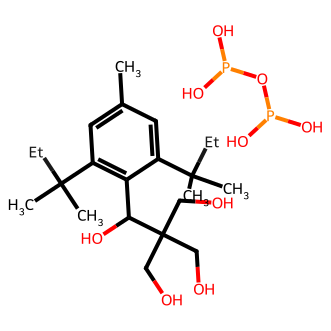 CCC(C)(C)c1cc(C)cc(C(C)(C)CC)c1C(O)C(CO)(CO)CO.OP(O)OP(O)O